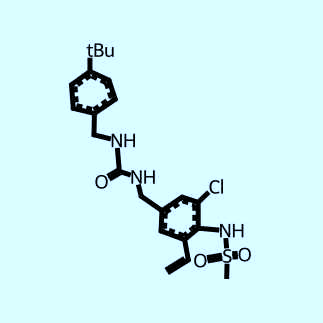 C=Cc1cc(CNC(=O)NCc2ccc(C(C)(C)C)cc2)cc(Cl)c1NS(C)(=O)=O